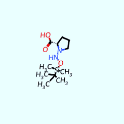 CC(C)(C)[Si](C)(C)ONN1CCC[C@H]1C(=O)O